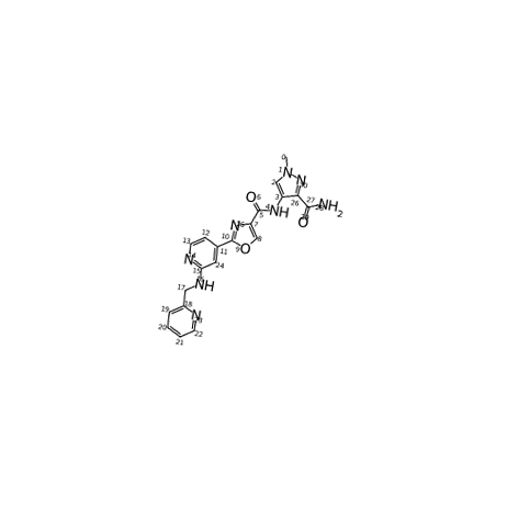 Cn1cc(NC(=O)c2coc(-c3ccnc(NCc4ccccn4)c3)n2)c(C(N)=O)n1